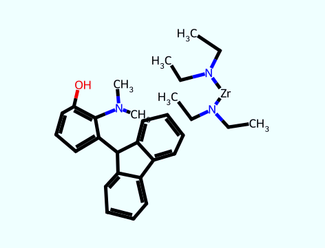 CC[N](CC)[Zr][N](CC)CC.CN(C)c1c(O)cccc1C1c2ccccc2-c2ccccc21